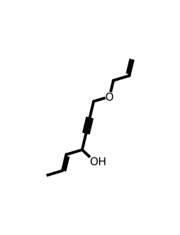 C=CCOCC#CC(O)C=CC